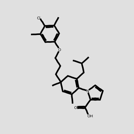 CC1=CC(C)(CCCOc2cc(C)c(Cl)c(C)c2)CC(CC(C)C)=C1n1cccc1C(=O)O